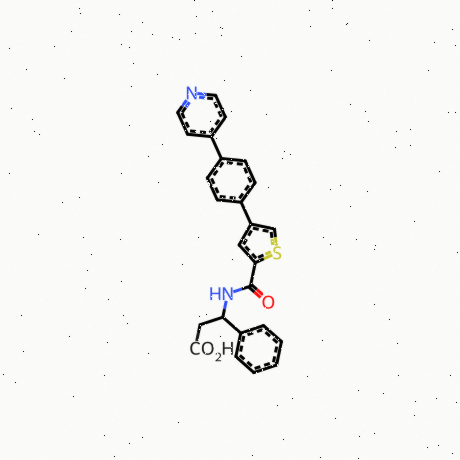 O=C(O)CC(NC(=O)c1cc(-c2ccc(-c3ccncc3)cc2)cs1)c1ccccc1